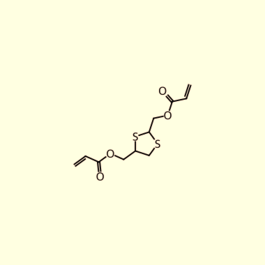 C=CC(=O)OCC1CSC(COC(=O)C=C)S1